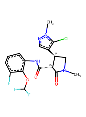 CN1C[C@H](c2cnn(C)c2Cl)[C@@H](C(=O)Nc2cccc(F)c2OC(F)F)C1=O